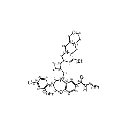 CC/C=C/C(CN1CCN2CCOCC2C1)C1CCC1CN1CC(c2ccc(Cl)cc2CCC)COc2ccc(C(=O)NSC(C)C)cc21